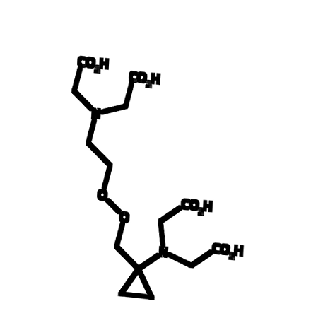 O=C(O)CN(CCOOCC1(N(CC(=O)O)CC(=O)O)CC1)CC(=O)O